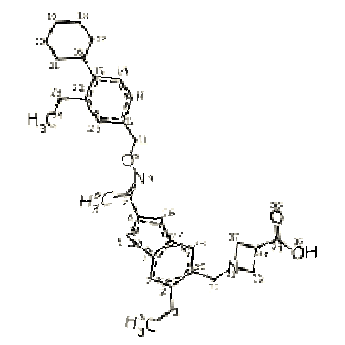 CCc1cc2sc(/C(C)=N/OCc3ccc(C4CCCCC4)c(CC)c3)cc2cc1CN1CC(C(=O)O)C1